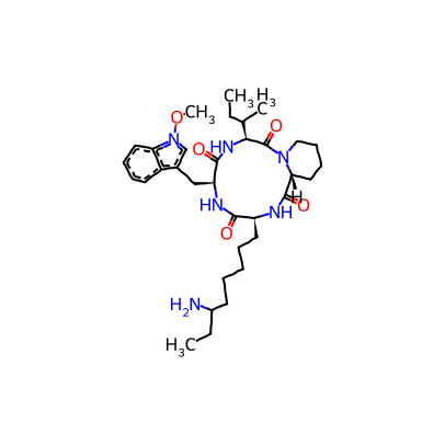 CCC(N)CCCCC[C@@H]1NC(=O)[C@H]2CCCCN2C(=O)[C@H](C(C)CC)NC(=O)[C@H](Cc2cn(OC)c3ccccc23)NC1=O